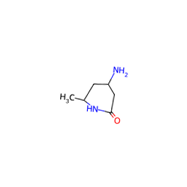 CC1CC(N)CC(=O)N1